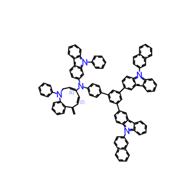 C=C1/C=C\C(N(c2ccc(-c3cc(-c4ccc5c(c4)c4ccccc4n5-c4ccc5ccccc5c4)cc(-c4ccc5c(c4)c4ccccc4n5-c4ccc5ccccc5c4)c3)cc2)c2ccc3c4ccccc4n(-c4ccccc4)c3c2)=C/CN(c2ccccc2)c2ccccc21